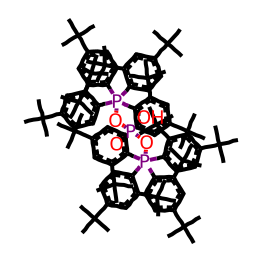 CC(C)(C)c1ccc(P(OP(=O)(O)OP(c2ccc(C(C)(C)C)cc2C(C)(C)C)(c2ccc(C(C)(C)C)cc2C(C)(C)C)(c2ccc(C(C)(C)C)cc2C(C)(C)C)c2ccc(C(C)(C)C)cc2C(C)(C)C)(c2ccc(C(C)(C)C)cc2C(C)(C)C)(c2ccc(C(C)(C)C)cc2C(C)(C)C)c2ccc(C(C)(C)C)cc2C(C)(C)C)c(C(C)(C)C)c1